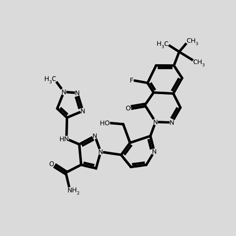 Cn1cc(Nc2nn(-c3ccnc(-n4ncc5cc(C(C)(C)C)cc(F)c5c4=O)c3CO)cc2C(N)=O)nn1